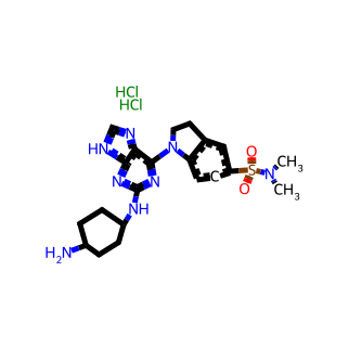 CN(C)S(=O)(=O)c1ccc2c(c1)CCN2c1nc(NC2CCC(N)CC2)nc2[nH]cnc12.Cl.Cl